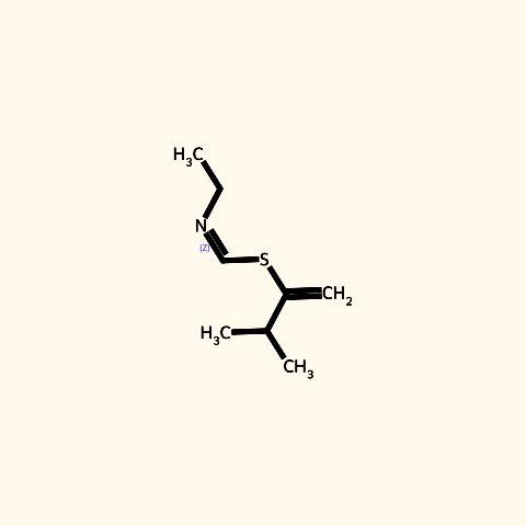 C=C(S/C=N\CC)C(C)C